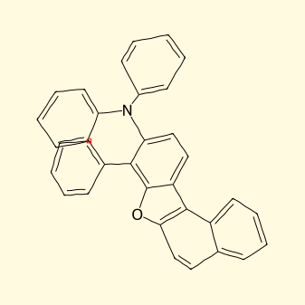 c1ccc(-c2c(N(c3ccccc3)c3ccccc3)ccc3c2oc2ccc4ccccc4c23)cc1